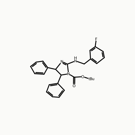 CC(C)(C)OC(=O)N1C(NCc2cccc(F)c2)=NC(c2ccccc2)C1c1ccccc1